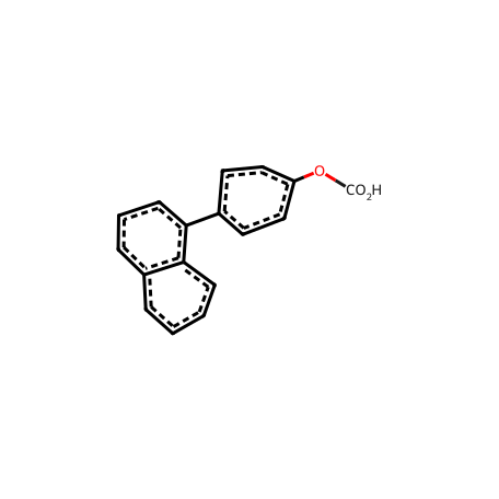 O=C(O)Oc1ccc(-c2cccc3ccccc23)cc1